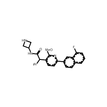 COc1nc(-c2ccc3cccc(F)c3c2)ccc1C(C(=O)NC1CNC1)C(C)C